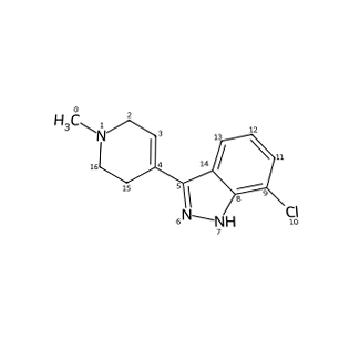 CN1CC=C(c2n[nH]c3c(Cl)cccc23)CC1